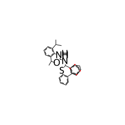 CC(C)c1cccc(C(C)C)c1NC(=O)NC(Sc1ccccc1-c1ccccc1)C1CCCCC1